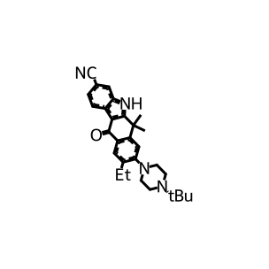 CCc1cc2c(cc1N1CCN(C(C)(C)C)CC1)C(C)(C)c1[nH]c3cc(C#N)ccc3c1C2=O